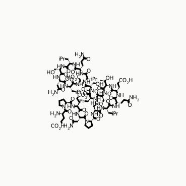 CC(C)C[C@H](NC(=O)[C@H](CC(N)=O)NC(=O)[C@H](CO)NC(=O)[C@H](CC(C)C)NC(=O)[C@H](CCC(N)=O)NC(=O)[C@@H](NC(=O)[C@H](CO)NC(=O)[C@H](CC(C)C)NC(=O)[C@H](CO)NC(=O)[C@@H](NC(=O)[C@H](CCC(=O)O)NC(=O)[C@H](CCC(N)=O)NC(=O)[C@H](CC(C)C)NC(=O)[C@H](CO)NC(=O)[C@@H]1CCCN1C(=O)[C@H](CC(N)=O)NC(=O)[C@H](CCC(=O)O)NC(=O)[C@@H]1CCCN1C(=O)[C@@H](N)CCC(=O)O)[C@@H](C)O)C(C)C)C(=O)NCC(=O)O